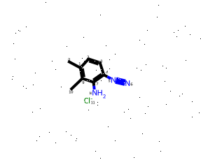 Cc1ccc([N+]#N)c(N)c1C.[Cl-]